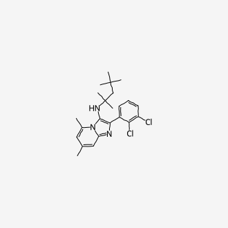 Cc1cc(C)n2c(NC(C)(C)CC(C)(C)C)c(-c3cccc(Cl)c3Cl)nc2c1